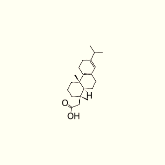 CC(C)C1=CC2=C(CC1)[C@@]1(C)CCC[C@@](C)(CC(=O)O)[C@@H]1CC2